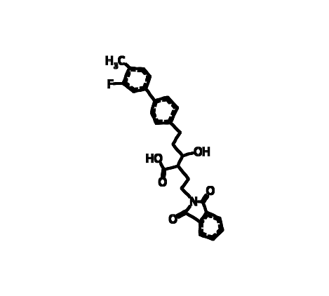 Cc1ccc(-c2ccc(CCC(O)C(CCN3C(=O)c4ccccc4C3=O)C(=O)O)cc2)cc1F